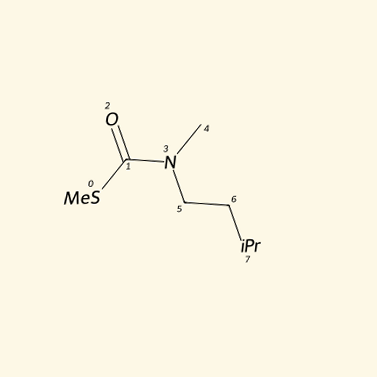 CSC(=O)N(C)CCC(C)C